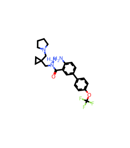 Nc1ccc(-c2ccc(OC(F)(F)F)cc2)cc1C(=O)N(N)CC1(CN2CCCC2)CC1